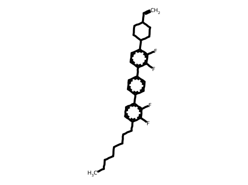 C=CC1CCC(c2ccc(-c3ccc(-c4ccc(CCCCCCCC)c(F)c4F)cc3)c(F)c2F)CC1